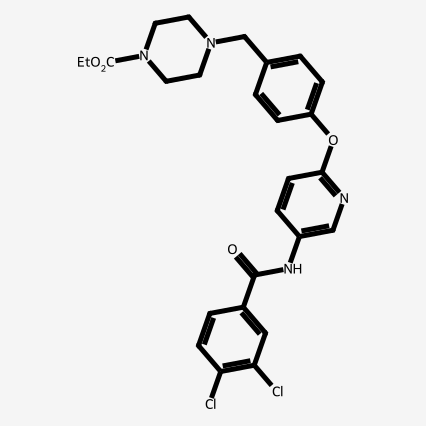 CCOC(=O)N1CCN(Cc2ccc(Oc3ccc(NC(=O)c4ccc(Cl)c(Cl)c4)cn3)cc2)CC1